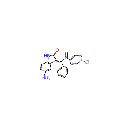 Nc1ccc2c(c1)/C(=C(/Nc1ccc(Cl)nc1)c1ccccc1)C(=O)N2